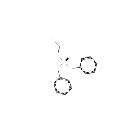 NCOP(=O)(Oc1ccccc1)Oc1ccccc1